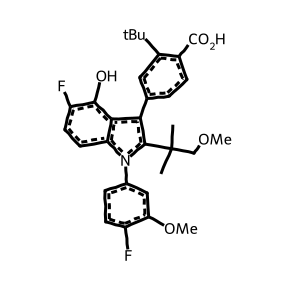 COCC(C)(C)c1c(-c2ccc(C(=O)O)c(C(C)(C)C)c2)c2c(O)c(F)ccc2n1-c1ccc(F)c(OC)c1